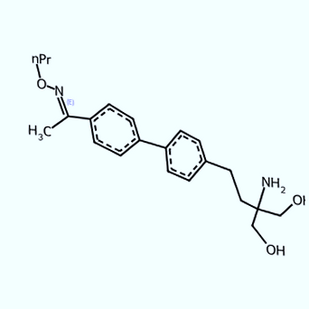 CCCO/N=C(\C)c1ccc(-c2ccc(CCC(N)(CO)CO)cc2)cc1